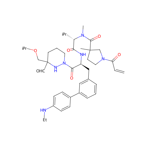 C=CC(=O)N1CCC(C)(C(=O)N(C)[C@H](C(=O)N[C@@H](Cc2cccc(-c3ccc(NCC)cc3)c2)C(=O)N2CCCC(C=O)(COC(C)C)N2)C(C)C)C1